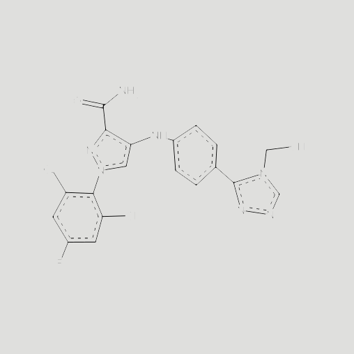 CCn1cnnc1-c1ccc(Nc2cn(-c3c(Cl)cc(F)cc3Cl)nc2C(N)=O)cc1